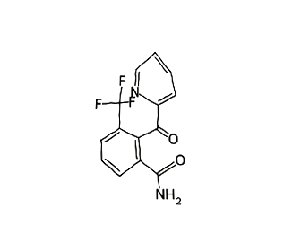 NC(=O)c1cccc(C(F)(F)F)c1C(=O)c1ccccn1